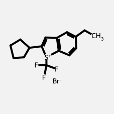 CCc1ccc2c(c1)cc(C1CCCC1)[s+]2C(F)(F)F.[Br-]